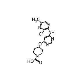 Cc1ccc(Nc2cc(OC3CCN(C(=O)O)CC3)ncn2)c(Cl)n1